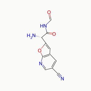 N#Cc1cnc2oc([C@H](N)C(=O)NC=O)cc2c1